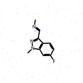 C/N=C/c1nn(C)c2cc(F)ccc12